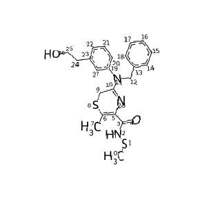 CSNC(=O)C1=C(C)SCC(N(Cc2ccccc2)c2cccc(CCO)c2)=N1